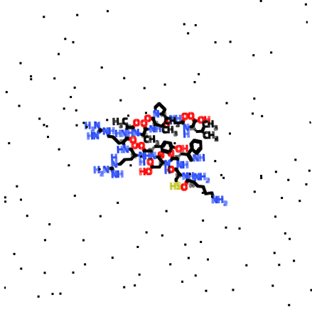 CC(C)C[C@H](NC(=O)CNC(=O)[C@@H]1CCCN1C(=O)[C@@H](NC(=O)[C@H](C)NC(=O)[C@H](C)NC(=O)[C@H](CCCNC(=N)N)NC(=O)[C@H](CCCNC(=N)N)NC(=O)[C@H](Cc1ccc(O)cc1)NC(=O)[C@H](CC(=O)O)NC(=O)[C@H](Cc1c[nH]c2ccccc12)NC(=O)[C@H](CS)NC(=O)[C@@H](N)CCCCN)C(C)C)C(=O)O